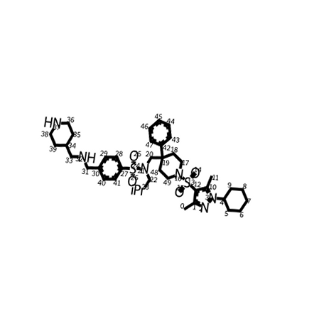 Cc1nn(C2CCCCC2)c(C)c1S(=O)(=O)N1CCC(CN(CC(C)C)S(=O)(=O)c2ccc(CNCC3CCNCC3)cc2)(c2ccccc2)CC1